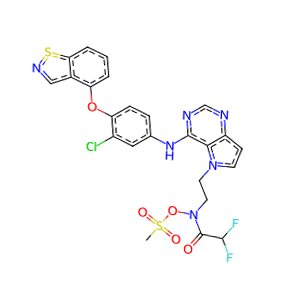 CS(=O)(=O)ON(CCn1ccc2ncnc(Nc3ccc(Oc4cccc5sncc45)c(Cl)c3)c21)C(=O)C(F)F